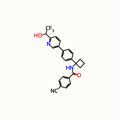 N#Cc1ccc(C(=O)NC2(c3ccc(-c4ccc(C(O)C(F)(F)F)nc4)cc3)CCC2)cc1